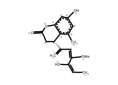 C=C(/C=C(OC)\C(O)=C/C)[C@@H]1CC(=O)Oc2cc(O)cc(C)c21